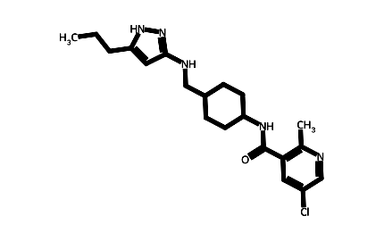 CCCc1cc(NCC2CCC(NC(=O)c3cc(Cl)cnc3C)CC2)n[nH]1